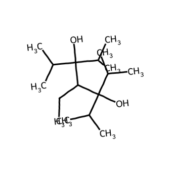 CCC(C(O)(C(C)C)C(C)C)C(O)(C(C)C)C(C)C